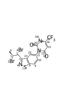 C[C@H](Br)[C@H](Br)c1nsc2ccc(-n3c(=O)cc(C(F)(F)F)n(C)c3=O)cc12